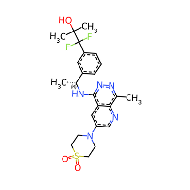 Cc1nnc(N[C@H](C)c2cccc(C(F)(F)C(C)(C)O)c2)c2cc(N3CCS(=O)(=O)CC3)cnc12